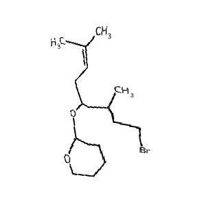 CC(C)=CCC(OC1CCCCO1)C(C)CCBr